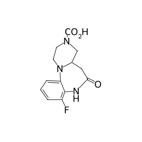 O=C1CC2CN(C(=O)O)CCN2c2cccc(F)c2N1